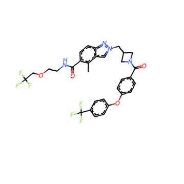 Cc1c(C(=O)NCCOCC(F)(F)F)ccc2nn(CC3CN(C(=O)c4ccc(Oc5ccc(C(F)(F)F)cc5)cc4)C3)cc12